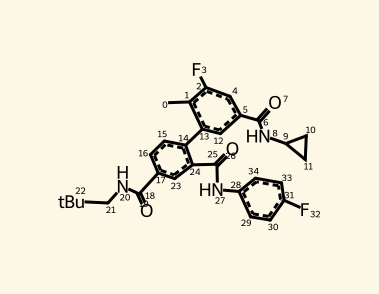 Cc1c(F)cc(C(=O)NC2CC2)cc1-c1ccc(C(=O)NCC(C)(C)C)cc1C(=O)Nc1ccc(F)cc1